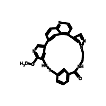 COc1ncc2cc1NSc1cccc(c1)C(=O)NCCn1cc(cn1)-c1ccnc3ccc-2cc13